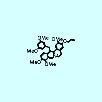 C=CCOc1cc2c(cc1OC)-c1c(Cc3cc(OC)cc(OC)c3)c3ccc(OC)c(OC)c3c[n+]1CC2